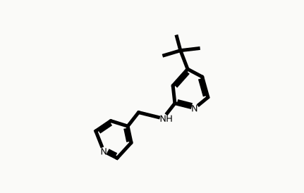 CC(C)(C)c1ccnc(NCc2ccncc2)c1